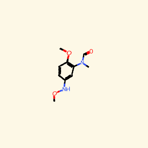 CONc1ccc(OC)c(N(C)C=O)c1